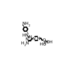 NC[C@H]1CC[C@H](CNc2nc(N)cc(N3CCN(CCOP(O)O)CC3)n2)CC1